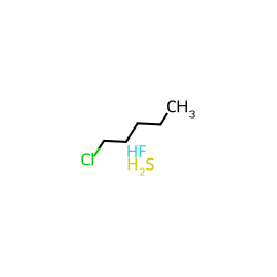 CCCCCCl.F.S